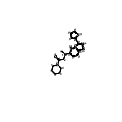 CN(CC(=O)N1CCCCC1)c1ccc2nnc(-c3cccs3)n2n1